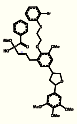 COc1cc(C2COC(c3cc(OC)c(OC)c(OC)c3)C2)cc(C/C=C/[N+](O)(OC)C(=O)c2ccccc2)c1OCCSc1ccccc1Br